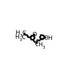 C/C(=C\CC1=CC(O)CCC1)CC1CC(=O)C=C(CCC(C)C)C1